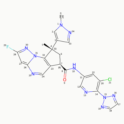 CCn1cc([C@]2(C)C[C@@H](C(=O)Nc3cnc(-n4nccn4)c(Cl)c3)c3cnc4cc(F)nn4c32)cn1